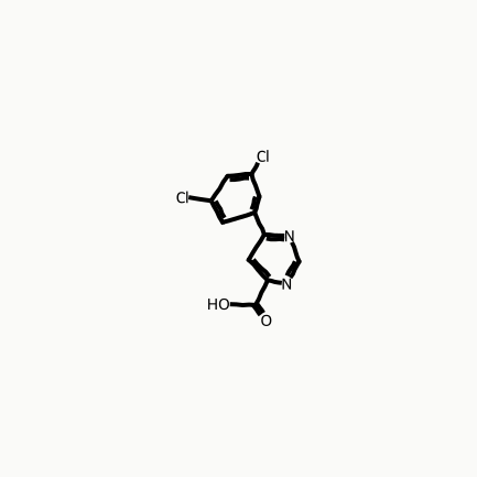 O=C(O)c1cc(-c2cc(Cl)cc(Cl)c2)ncn1